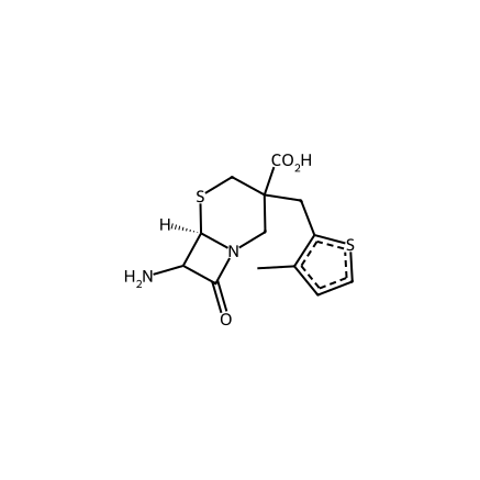 Cc1ccsc1CC1(C(=O)O)CS[C@@H]2C(N)C(=O)N2C1